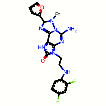 CCN1C(c2ccco2)N=C2c3[nH]c(=O)n(CCNc4ccc(F)cc4F)c3N=C(N)N21